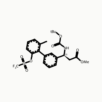 COC(=O)C[C@H](NC(=O)OC(C)(C)C)c1cccc(-c2c(C)cccc2OS(=O)(=O)C(F)(F)F)c1